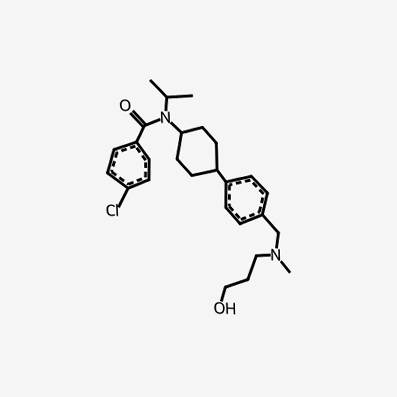 CC(C)N(C(=O)c1ccc(Cl)cc1)C1CCC(c2ccc(CN(C)CCCO)cc2)CC1